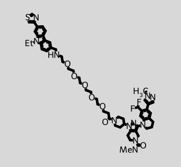 CCn1c2ccc(CNCCOCCOCCOCCOCCOCCC(=O)N3CCC(n4nc(N5CCCc6cc(-c7cnn(C)c7)c(C(F)F)cc65)c5c4CCN(C(=O)NC)C5)CC3)cc2c2ccc(-c3cscn3)cc21